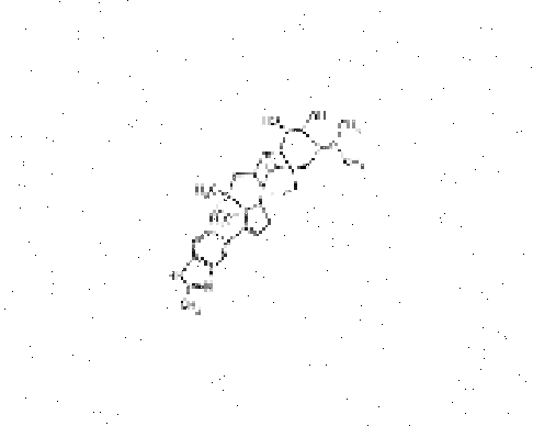 CN(C)[C@H]1C[C@@]23CC[C@@]4(O2)C(=CC(C)(C)[C@]2(C)C(c5ccc6[nH]c(N)nc6c5)=CCC42)C=C3[C@@H](O)[C@@H]1O